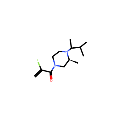 C=C(F)C(=O)N1CCN(C(C)C(C)C)[C@@H](C)C1